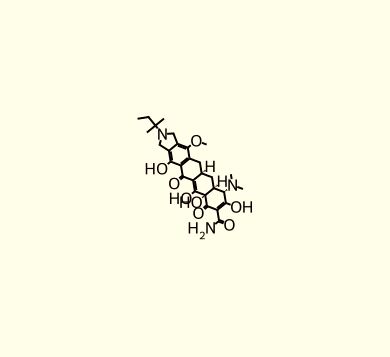 CCC(C)(C)N1Cc2c(O)c3c(c(OC)c2C1)C[C@H]1C[C@H]2[C@H](N(C)C)C(O)=C(C(N)=O)C(=O)[C@@]2(O)C(O)=C1C3=O